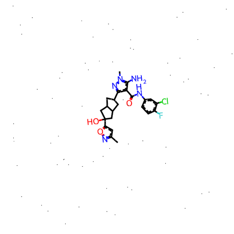 Cc1cc(C2(O)CC3CC(c4nn(C)c(N)c4C(=O)Nc4ccc(F)c(Cl)c4)CC3C2)on1